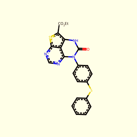 CCOC(=O)c1sc2ncnc3c2c1NC(=O)N3c1ccc(Sc2ccccc2)cc1